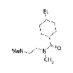 CCC1CCC(C(=O)N(C)CCNC)CC1